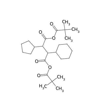 CC(C)(C)C(=O)OC(=O)C(C1CCCCC1)C(C(=O)OC(=O)C(C)(C)C)C1CCCC1